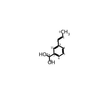 CC=Cc1cccc(C(O)O)c1